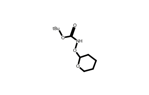 CC(C)(C)OC(=O)NOC1CCCCO1